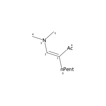 CCCCCC(=CN(C)C)C(C)=O